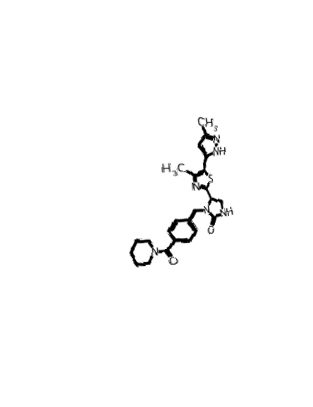 Cc1cc(-c2sc(C3CNC(=O)N3Cc3ccc(C(=O)N4CCCCC4)cc3)nc2C)[nH]n1